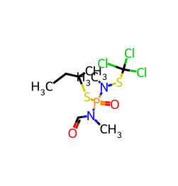 CCC(C)SP(=O)(N(C)C=O)N(C)SC(Cl)(Cl)Cl